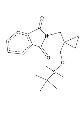 CC(C)(C)[Si](C)(C)OCC1(CN2C(=O)c3ccccc3C2=O)CC1